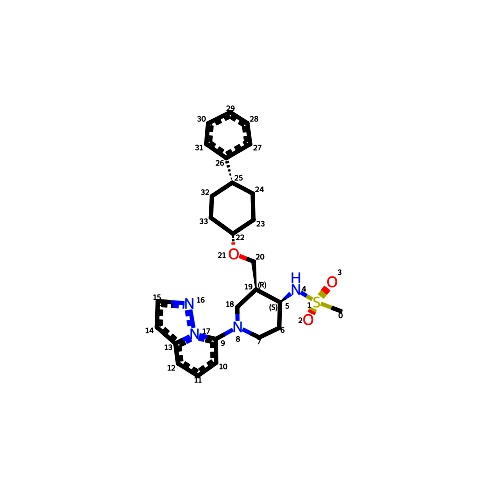 CS(=O)(=O)N[C@H]1CCN(c2cccc3ccnn23)C[C@H]1CO[C@H]1CC[C@@H](c2ccccc2)CC1